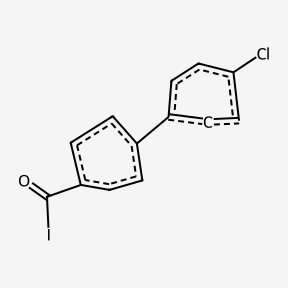 O=C(I)c1ccc(-c2ccc(Cl)cc2)cc1